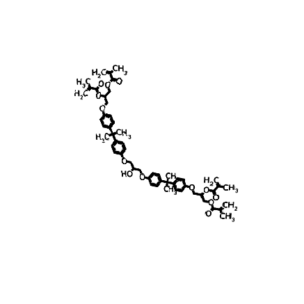 C=C(C)C(=O)OCC(COc1ccc(C(C)(C)c2ccc(OCC(O)COc3ccc(C(C)(C)c4ccc(OCC(COC(=O)C(=C)C)OC(=O)C(=C)C)cc4)cc3)cc2)cc1)OC(=O)C(=C)C